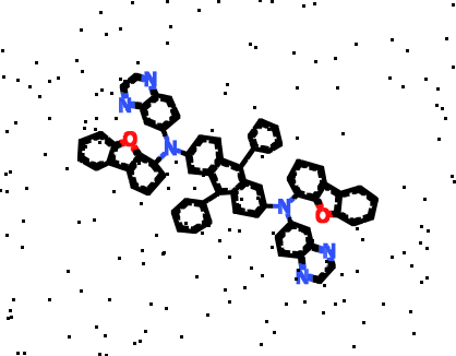 c1ccc(-c2c3ccc(N(c4ccc5nccnc5c4)c4cccc5c4oc4ccccc45)cc3c(-c3ccccc3)c3ccc(N(c4ccc5nccnc5c4)c4cccc5c4oc4ccccc45)cc23)cc1